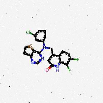 O=c1cc(CN(c2cccc(Cl)c2)c2ncnc3ccsc23)c2ccc(F)c(F)c2[nH]1